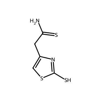 NC(=S)Cc1csc(S)n1